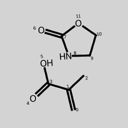 C=C(C)C(=O)O.O=C1NCCO1